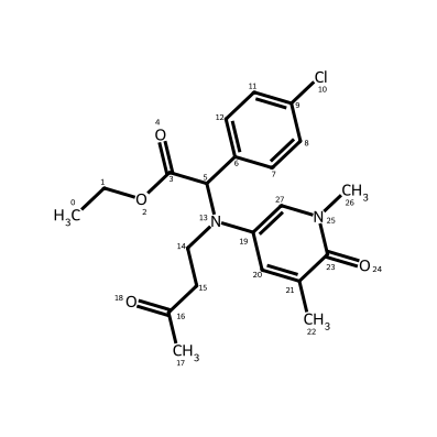 CCOC(=O)C(c1ccc(Cl)cc1)N(CCC(C)=O)c1cc(C)c(=O)n(C)c1